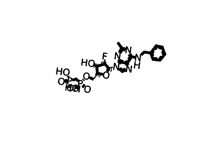 Cc1nc(NCc2ccccc2)c2ncn([C@@H]3O[C@H](COP(=O)(O)CP(=O)(O)O)[C@@H](O)[C@@H]3F)c2n1